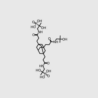 CC(C)(O)CNC(=O)CCC12CC3CC(CCC(=O)NCC(C)(O)P(=O)(O)O)(C1)CC(CCC(=O)NCC(C)(O)P(=O)(O)O)(C3)C2